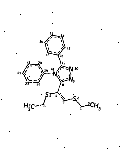 CCS/C=C(/SCC)c1nnc(-c2ccccc2)n1-c1ccccc1